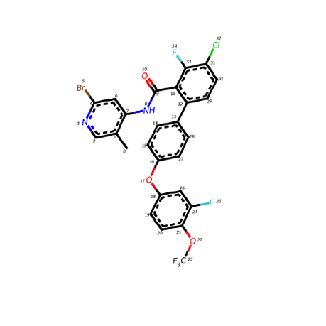 Cc1cnc(Br)cc1NC(=O)c1c(-c2ccc(Oc3ccc(OC(F)(F)F)c(F)c3)cc2)ccc(Cl)c1F